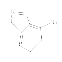 [Na][c]1cccc2[nH]nnc12